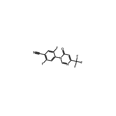 N#Cc1cc(F)c(-n2cnc(C(F)(F)F)cc2=O)cc1F